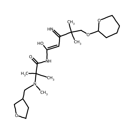 CN(CC1CCOC1)C(C)(C)C(=O)N/C(O)=C/C(=N)C(C)(C)COC1CCCCO1